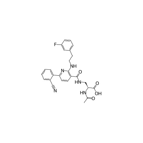 CC(=O)N[C@@H](CNC(=O)c1ccc(-c2ccccc2C#N)nc1NCCc1cccc(F)c1)C(=O)O